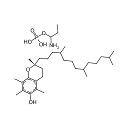 CCC(N)OP(=O)(O)O.Cc1c(C)c2c(c(C)c1O)CC[C@@](C)(CCCC(C)CCCC(C)CCCC(C)C)O2